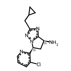 N[C@H]1C[C@@H](c2ncccc2Cl)n2nc(CC3CC3)nc21